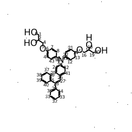 OCC(O)COc1ccc(N(C2=CCC(OCC(O)CO)C=C2)c2ccc(C=C(c3ccccc3)c3ccccc3)cc2)cc1